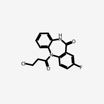 O=C1Nc2ccccc2N(C(=O)CCCl)c2ccc(F)cc21